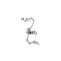 CCCC/C=C\C/C=C\CCCCCCCCC(=O)OCC(C(=O)NCCCCCCCC/C=C\C/C=C\CCCCC)N(C)C